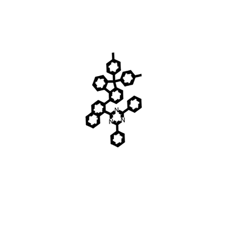 Cc1ccc(C2(c3ccc(C)cc3)c3ccccc3-c3c(-c4ccc5ccccc5c4-c4nc(-c5ccccc5)nc(-c5ccccc5)n4)cccc32)cc1